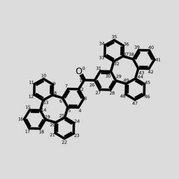 O=C(c1ccc2c(c1)-c1ccccc1-c1ccccc1-c1ccccc1-2)c1ccc2c(c1)-c1ccccc1-c1ccccc1-c1ccccc1-2